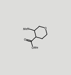 CNC1COCCC1C(=O)OC